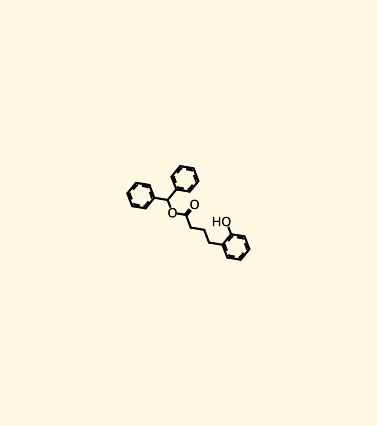 O=C(CCCc1ccccc1O)OC(c1ccccc1)c1ccccc1